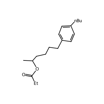 CCCCc1ccc(CCCCC(C)OC(=O)CC)cc1